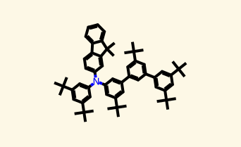 CC(C)(C)c1cc(-c2cc(N(c3cc(C(C)(C)C)cc(C(C)(C)C)c3)c3ccc4c(c3)C(C)(C)c3ccccc3-4)cc(C(C)(C)C)c2)cc(-c2cc(C(C)(C)C)cc(C(C)(C)C)c2)c1